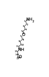 NCCCCCOCCCCCNCC1CO1